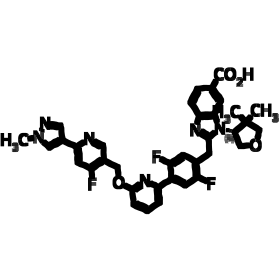 Cn1cc(-c2cc(F)c(COc3cccc(-c4cc(F)c(Cc5nc6ccc(C(=O)O)cc6n5[C@H]5COCC5(C)C)cc4F)n3)cn2)cn1